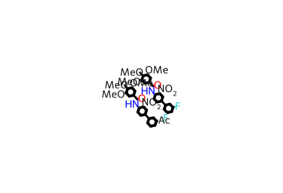 COc1cc(C(=O)Nc2ccc(-c3cc(F)cc(F)c3)cc2[N+](=O)[O-])cc(OC)c1OC.COc1cc(C(=O)Nc2ccc(-c3cccc(C(C)=O)c3)cc2[N+](=O)[O-])cc(OC)c1OC